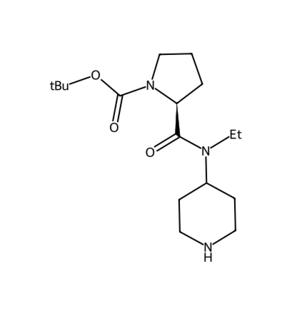 CCN(C(=O)[C@@H]1CCCN1C(=O)OC(C)(C)C)C1CCNCC1